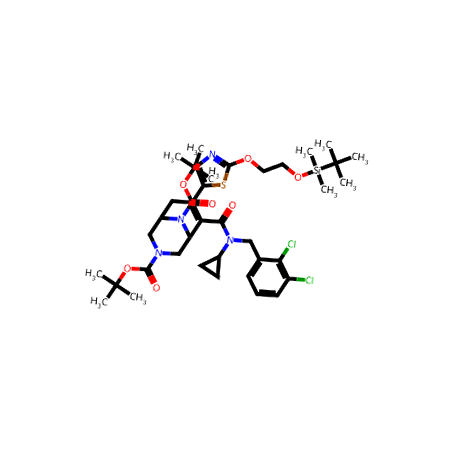 CC(C)(C)OC(=O)N1CC2CC(c3cnc(OCCO[Si](C)(C)C(C)(C)C)s3)=C(C(=O)N(Cc3cccc(Cl)c3Cl)C3CC3)C(C1)N2C(=O)OC(C)(C)C